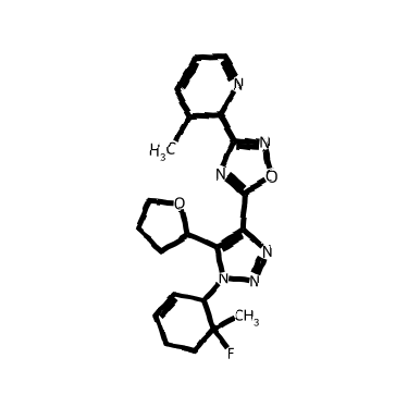 CC1C=CC=NC1c1noc(-c2nnn(C3C=CCCC3(C)F)c2C2CCCO2)n1